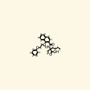 CCCCC(CC)(NC(=O)c1ccc2ccccc2c1OCCOc1ccccc1)C(=O)O